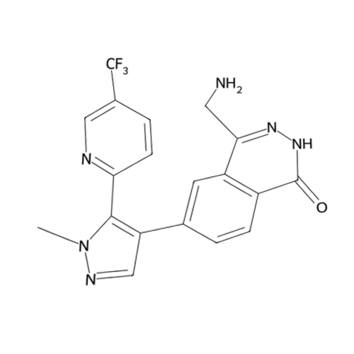 Cn1ncc(-c2ccc3c(=O)[nH]nc(CN)c3c2)c1-c1ccc(C(F)(F)F)cn1